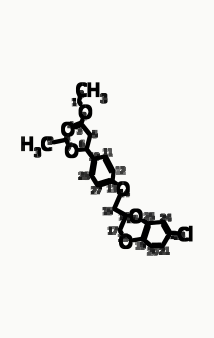 CCOC(=O)CC(OCC)c1ccc(OCC2COc3ccc(Cl)cc3O2)cc1